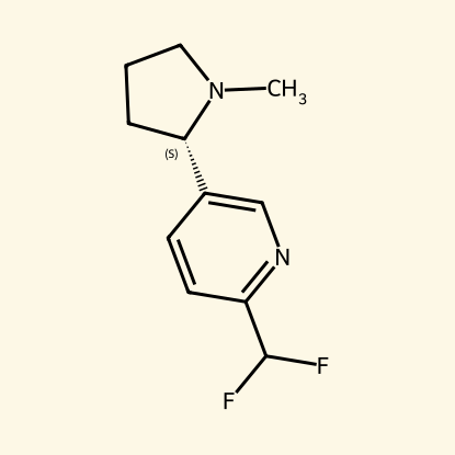 CN1CCC[C@H]1c1ccc(C(F)F)nc1